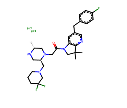 C[C@@H]1CN(CC(=O)N2CC(C)(C)c3ncc(Cc4ccc(F)cc4)cc32)[C@@H](CN2CCCC(F)(F)C2)CN1.Cl.Cl